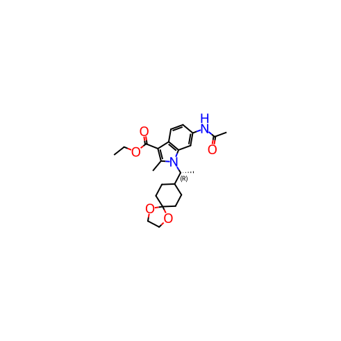 CCOC(=O)c1c(C)n([C@H](C)C2CCC3(CC2)OCCO3)c2cc(NC(C)=O)ccc12